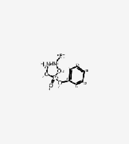 CCNOP(=O)(ON)Oc1ccccc1